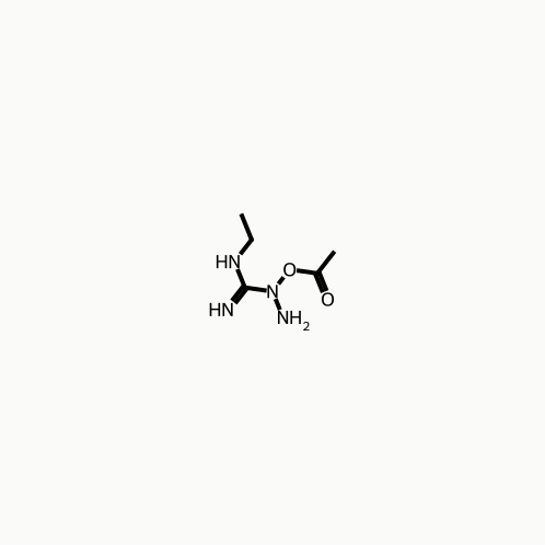 CCNC(=N)N(N)OC(C)=O